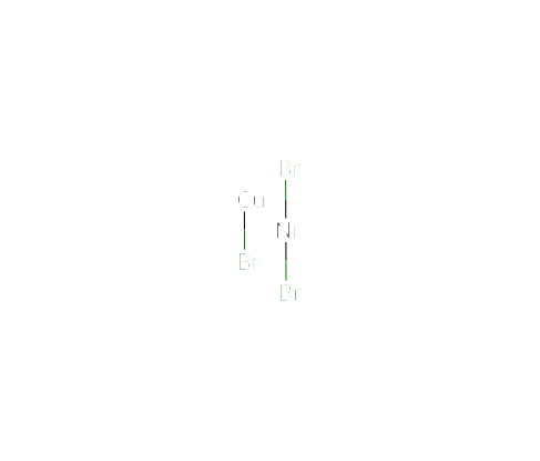 [Br][Ni][Br].[Cu][Br]